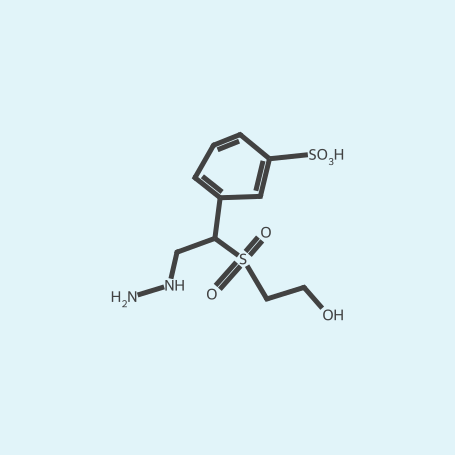 NNCC(c1cccc(S(=O)(=O)O)c1)S(=O)(=O)CCO